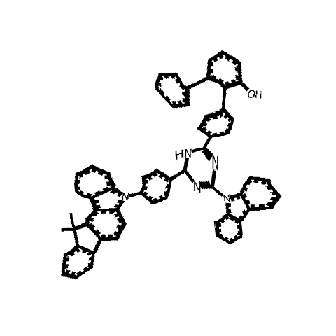 CC1(C)c2ccccc2-c2ccc3c(c21)c1ccccc1n3-c1ccc(C2N=C(n3c4ccccc4c4ccccc43)N=C(c3ccc(-c4c(O)cccc4-c4ccccc4)cc3)N2)cc1